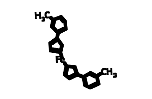 Cc1cccc(C2=CC=[C]([Fe][C]3=CC=C(c4cccc(C)c4)C3)C2)c1